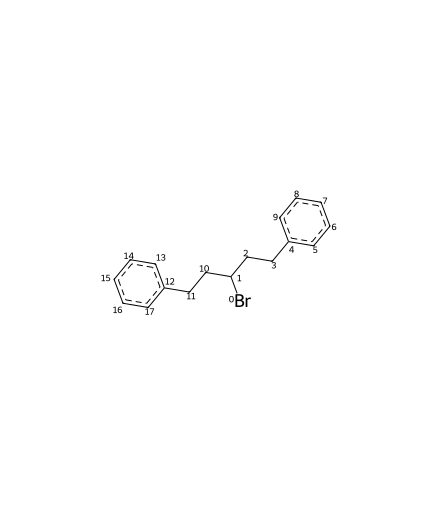 BrC(CCc1ccccc1)CCc1ccccc1